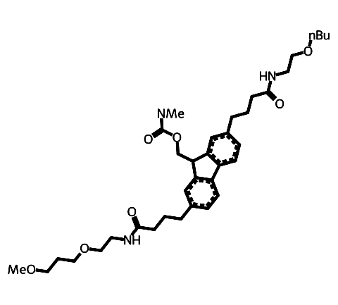 CCCCOCCNC(=O)CCCc1ccc2c(c1)C(COC(=O)NC)c1cc(CCCC(=O)NCCOCCCOC)ccc1-2